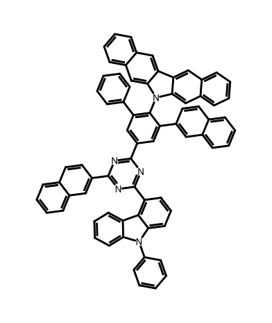 c1ccc(-c2cc(-c3nc(-c4ccc5ccccc5c4)nc(-c4cccc5c4c4ccccc4n5-c4ccccc4)n3)cc(-c3ccc4ccccc4c3)c2-n2c3cc4ccccc4cc3c3cc4ccccc4cc32)cc1